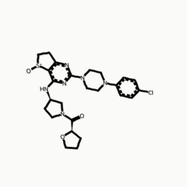 O=C([C@H]1CCCO1)N1CC[C@@H](Nc2nc(N3CCN(c4ccc(Cl)cc4)CC3)nc3c2[S+]([O-])CC3)C1